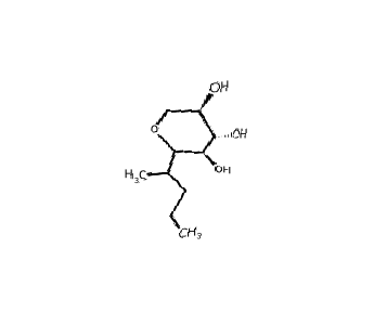 CCCC(C)C1OC[C@@H](O)[C@H](O)[C@H]1O